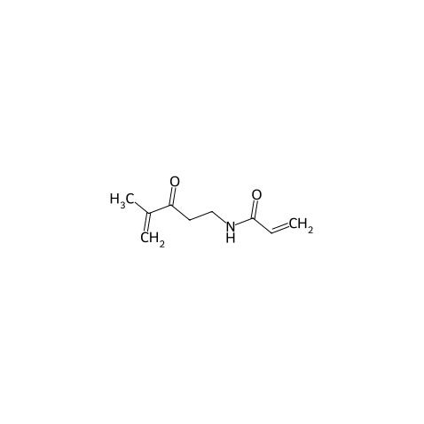 C=CC(=O)NCCC(=O)C(=C)C